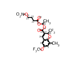 Cc1cc(OC(F)(F)F)cc2c1OC(C(F)(F)F)C(C(=O)OC(C)OC(=O)CCCO[N+](=O)[O-])=C2